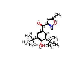 Cc1cc(C(=O)c2cc(C(C)(C)C)c(O)c(C(C)(C)C)c2)no1